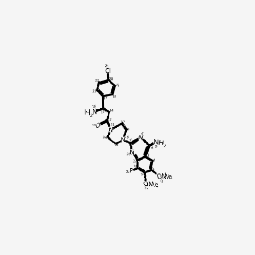 COc1cc2c(N)nc(N3CCN(C(=O)CC(N)c4ccc(Cl)cc4)CC3)nc2c(F)c1OC